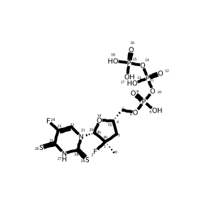 C[C@@]1(F)C[C@@H](COP(=O)(O)OP(=O)(O)OP(=O)(O)O)O[C@H]1n1cc(F)c(=S)[nH]c1=S